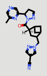 Cc1cncc(C2CC=NN2C(=O)[C@H]2CC(Cn3cc(C#N)cn3)C3CC2C3)n1